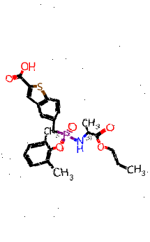 CCCOC(=O)[C@H](C)NP(=O)(Cc1ccc2sc(C(=O)O)cc2c1)Oc1c(C)cccc1C